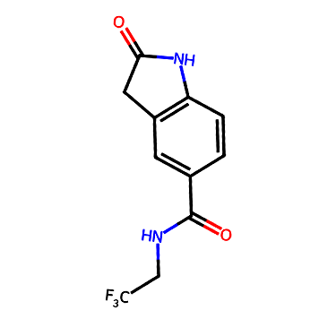 O=C1Cc2cc(C(=O)NCC(F)(F)F)ccc2N1